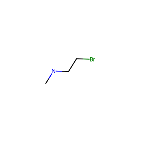 C[N]CCBr